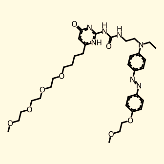 CCN(CCNC(=O)Nc1nc(=O)cc(CCCCOCCOCCOCCOC)[nH]1)c1ccc(/N=N/c2ccc(OCCOC)cc2)cc1